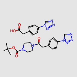 CC(C)(C)OC(=O)N1CCN(C(=O)Cc2ccc(-n3cnnn3)cc2)CC1.O=C(O)Cc1ccc(-n2cnnn2)cc1